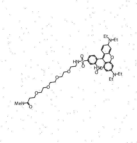 CCN(CC)c1ccc2c(c1)OC1=CC(N(CC)CC)C=CC1=C2c1ccc(S(=O)(=O)NCCOCCOCCOCCOCCC(=O)NC)cc1[SH](=O)=O